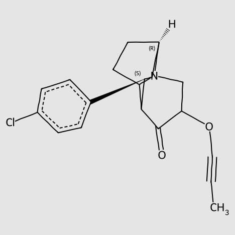 CC#COC1CN2C3CC[C@@H]2C[C@H](c2ccc(Cl)cc2)C3C1=O